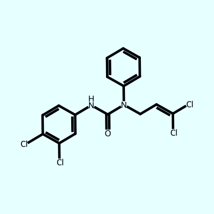 O=C(Nc1ccc(Cl)c(Cl)c1)N(CC=C(Cl)Cl)c1ccccc1